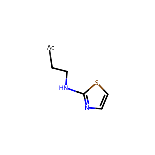 CC(=O)CCNc1nccs1